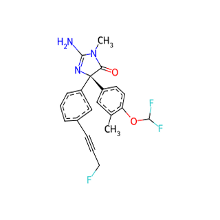 Cc1cc([C@@]2(c3cccc(C#CCF)c3)N=C(N)N(C)C2=O)ccc1OC(F)F